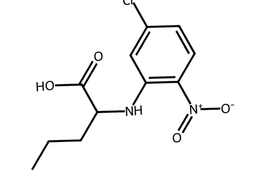 CCCC(Nc1cc(Cl)ccc1[N+](=O)[O-])C(=O)O